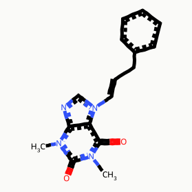 Cn1c(=O)c2c(ncn2/C=C/Cc2ccccc2)n(C)c1=O